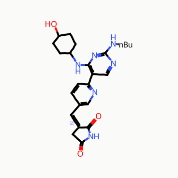 CCCCNc1ncc(-c2ccc(/C=C3/CC(=O)NC3=O)cn2)c(NC2CCC(O)CC2)n1